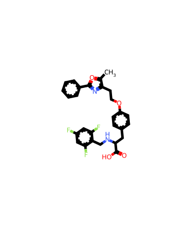 Cc1oc(-c2ccccc2)nc1CCOc1ccc(CC(NCc2c(F)cc(F)cc2F)C(=O)O)cc1